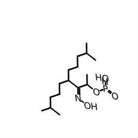 CC(C)CCCC(CCCC(C)C)C(=NO)C(C)O[PH](=O)O